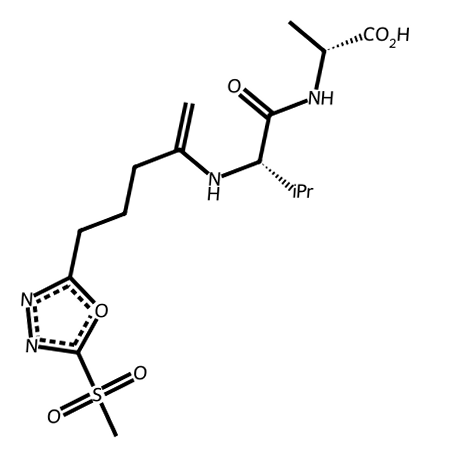 C=C(CCCc1nnc(S(C)(=O)=O)o1)N[C@H](C(=O)N[C@H](C)C(=O)O)C(C)C